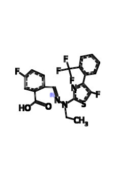 CCN(/N=C/c1ccc(F)cc1C(=O)O)c1nc(-c2ccccc2C(F)(F)F)c(F)s1